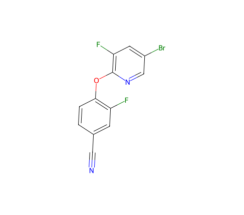 N#Cc1ccc(Oc2ncc(Br)cc2F)c(F)c1